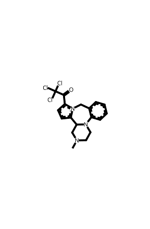 CN1CCN2c3ccccc3Cn3c(C(=O)C(Cl)(Cl)Cl)ccc3C2C1